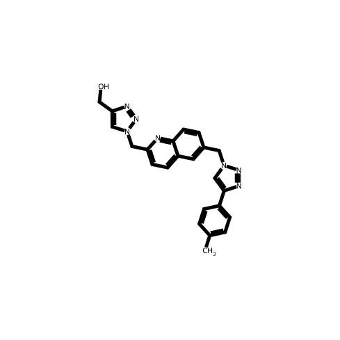 Cc1ccc(-c2cn(Cc3ccc4nc(Cn5cc(CO)nn5)ccc4c3)nn2)cc1